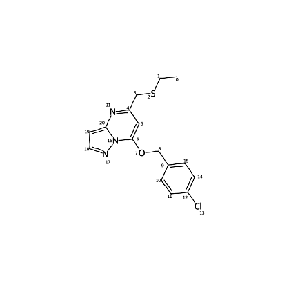 CCSCc1cc(OCc2ccc(Cl)cc2)n2nccc2n1